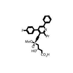 COP(=O)(C#Cc1c(-c2ccc(F)cc2)cc(-c2ccccc2)nc1C(C)C)C[C@@H](O)CC(=O)O